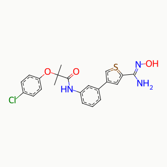 CC(C)(Oc1ccc(Cl)cc1)C(=O)Nc1cccc(-c2csc(C(N)=NO)c2)c1